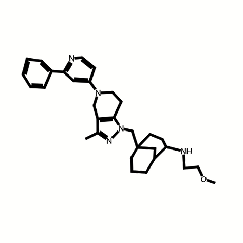 COCCNC1CCC2(Cn3nc(C)c4c3CCN(c3ccnc(-c5ccccc5)c3)C4)CCCC1C2